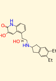 CCc1cc2c(cc1CC)CC(NC[C@H](O)c1cccc3[nH]c(=O)c(O)cc13)C2